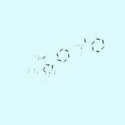 Cc1ccccc1C(=O)NCc1ccc(-c2nn(CC(F)(F)F)c(N)c2C(N)=O)cc1